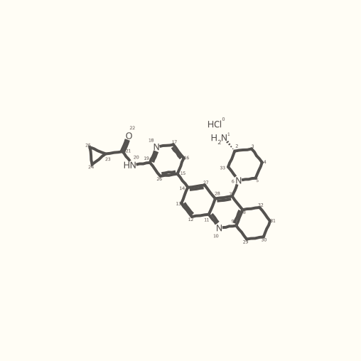 Cl.N[C@@H]1CCCN(c2c3c(nc4ccc(-c5ccnc(NC(=O)C6CC6)c5)cc24)CCCC3)C1